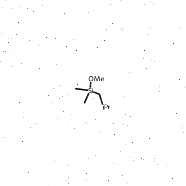 [CH2]O[Si](C)(C)CC(C)C